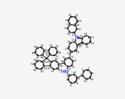 c1ccc(-c2cccc(Nc3ccc(-c4ccc5c(c4)c4ccccc4n5-c4ccc5ccccc5c4)cc3-c3ccc4c(c3)C(c3ccccc3)(c3ccccc3)c3ccccc3-4)c2)cc1